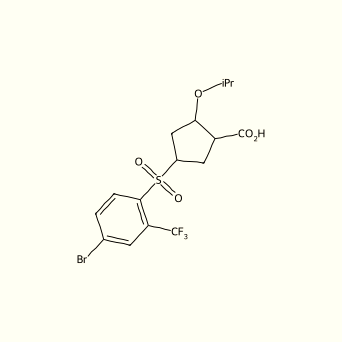 CC(C)OC1CC(S(=O)(=O)c2ccc(Br)cc2C(F)(F)F)CC1C(=O)O